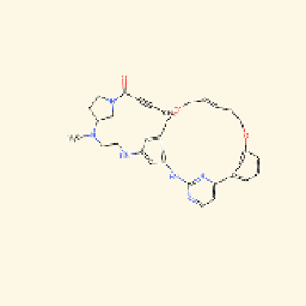 CC#CC(=O)N1CCC(N(C)CCNc2cc3cc(c2)Nc2nccc(n2)-c2cccc(c2)OCC/C=C/COC3)C1